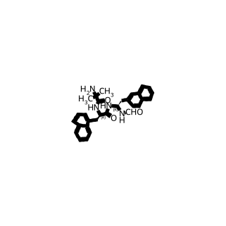 CC(C)(N)C(=O)N[C@H](Cc1cccc2ccccc12)C(=O)N[C@H](Cc1ccc2ccccc2c1)NC=O